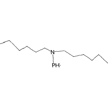 CCCCCCN([PH])CCCCCC